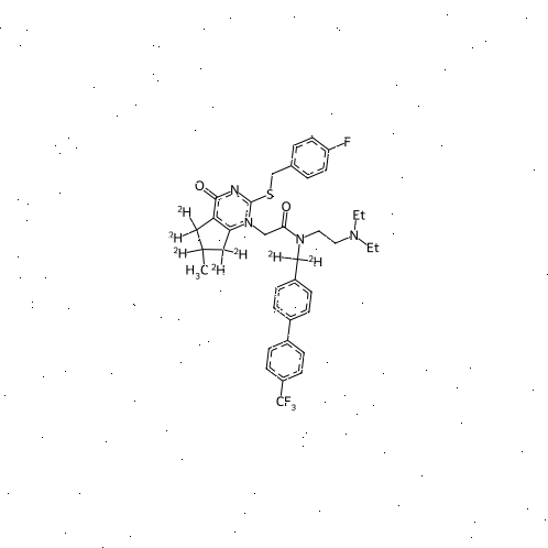 [2H]C([2H])(c1ccc(-c2ccc(C(F)(F)F)cc2)cc1)N(CCN(CC)CC)C(=O)Cn1c(SCc2ccc(F)cc2)nc(=O)c2c1C([2H])([2H])C([2H])(C)C2([2H])[2H]